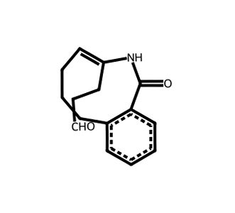 O=CCC/C1=C\CCCc2ccccc2C(=O)N1